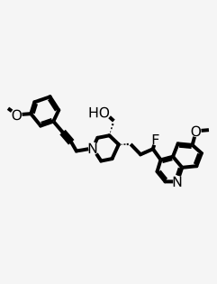 COc1cccc(C#CCN2CC[C@@H](CCC(F)c3ccnc4ccc(OC)cc34)[C@@H](CO)C2)c1